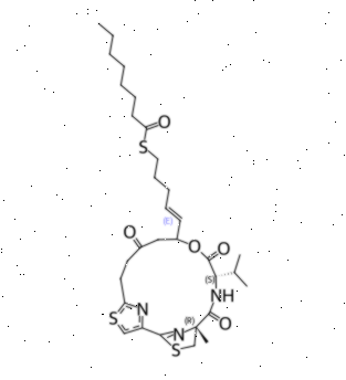 CCCCCCCC(=O)SCCC/C=C/C1CC(=O)CCc2nc(cs2)C2=N[C@@](C)(CS2)C(=O)N[C@@H](C(C)C)C(=O)O1